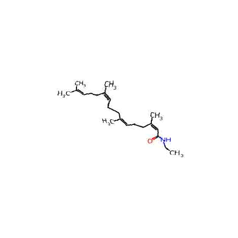 CCNC(=O)C=C(C)CCC=C(C)CCC=C(C)CCC=C(C)C